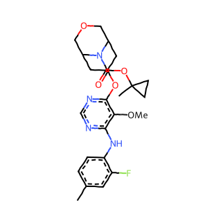 COc1c(Nc2ccc(C)cc2F)ncnc1OC1CC2COCC(C1)N2C(=O)OC1(C)CC1